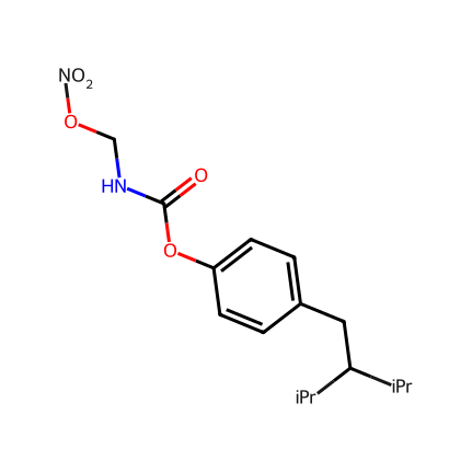 CC(C)C(Cc1ccc(OC(=O)NCO[N+](=O)[O-])cc1)C(C)C